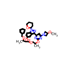 COC1CN(c2cc(-c3nn(C4CCCCO4)c4ccc(O)cc34)nc(O[C@H](C)COCC[C@@H](C)OCc3ccccc3)n2)C1